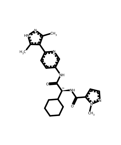 Cc1n[nH]c(C)c1-c1ccc(NC(=O)[C@@H](NC(=O)c2ccnn2C)C2CCCCC2)cn1